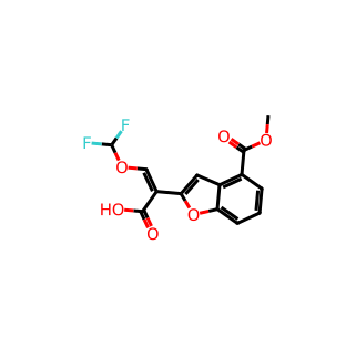 COC(=O)c1cccc2oc(C(=COC(F)F)C(=O)O)cc12